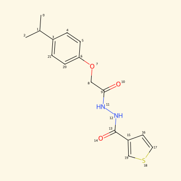 CC(C)c1ccc(OCC(=O)NNC(=O)c2ccsc2)cc1